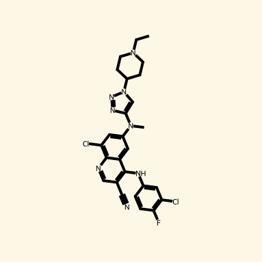 CCN1CCC(n2cc(N(C)c3cc(Cl)c4ncc(C#N)c(Nc5ccc(F)c(Cl)c5)c4c3)nn2)CC1